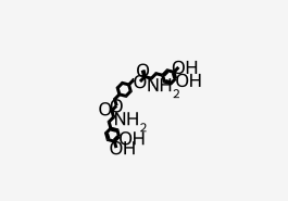 NC(Cc1ccc(O)c(O)c1)C(=O)OCC1CCC(COC(=O)[C@@H](N)Cc2ccc(O)c(O)c2)CC1